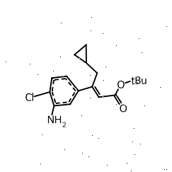 CC(C)(C)OC(=O)C=C(CC1CC1)c1ccc(Cl)c(N)c1